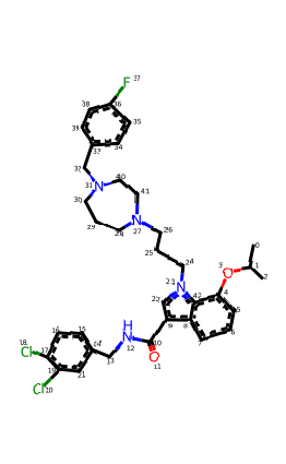 CC(C)Oc1cccc2c(C(=O)NCc3ccc(Cl)c(Cl)c3)cn(CCCN3CCCN(Cc4ccc(F)cc4)CC3)c12